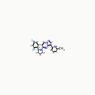 Cc1cccc(-c2cnn3ccc(N4CCCC4c4ccc(F)cc4F)nc23)n1